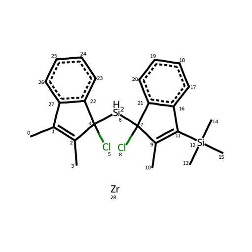 CC1=C(C)C(Cl)([SiH2]C2(Cl)C(C)=C([Si](C)(C)C)c3ccccc32)c2ccccc21.[Zr]